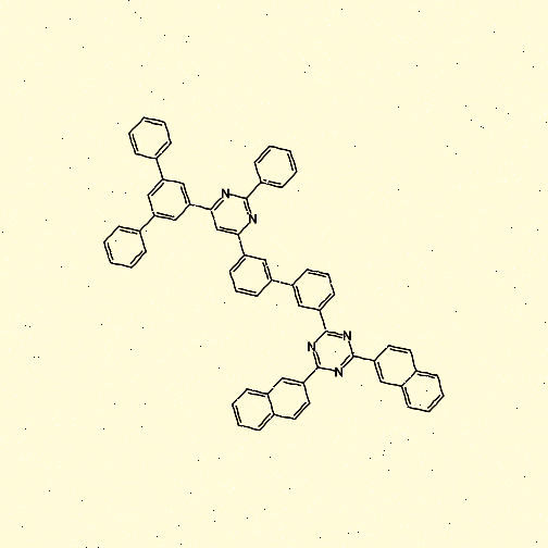 c1ccc(-c2cc(-c3ccccc3)cc(-c3cc(-c4cccc(-c5cccc(-c6nc(-c7ccc8ccccc8c7)nc(-c7ccc8ccccc8c7)n6)c5)c4)nc(-c4ccccc4)n3)c2)cc1